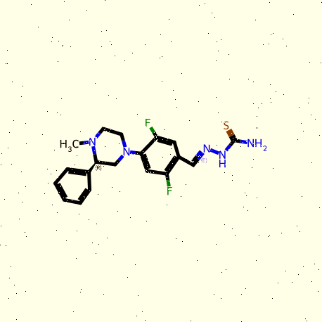 CN1CCN(c2cc(F)c(/C=N/NC(N)=S)cc2F)C[C@H]1c1ccccc1